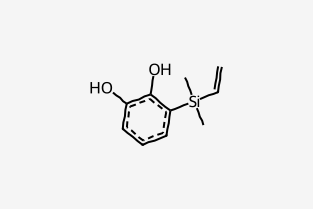 C=C[Si](C)(C)c1cccc(O)c1O